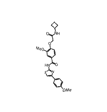 COc1ccc(-c2csc(NC(=O)c3ccc(OCC(=O)NC4CCC4)c(OC)c3)n2)cc1